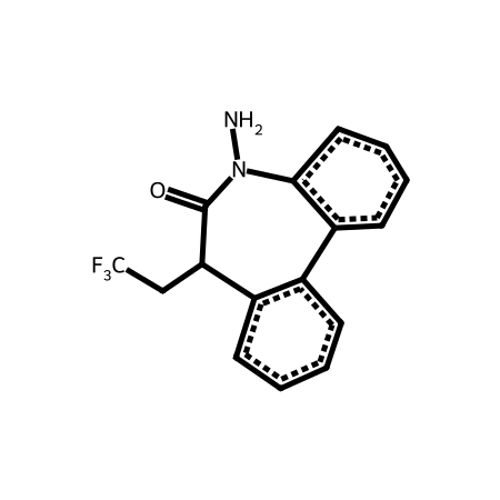 NN1C(=O)C(CC(F)(F)F)c2ccccc2-c2ccccc21